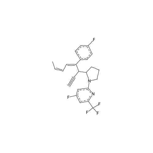 C#CC(/C(=C\C=C/C)c1ccc(F)cc1)C1CCCN1c1cc(F)cc(C(F)(F)F)n1